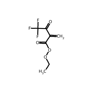 C=C(C(=O)OOCC)C(=O)C(F)(F)F